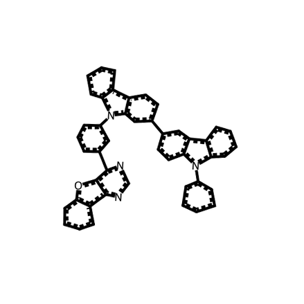 c1ccc(-n2c3ccccc3c3cc(-c4ccc5c6ccccc6n(-c6cccc(-c7ncnc8c7oc7ccccc78)c6)c5c4)ccc32)cc1